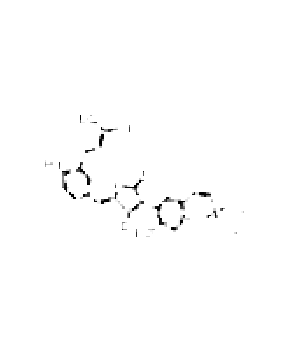 CC(C)=CCc1cc(C=C2OC(=O)C(c3cc4c(cc3O)OC(C)(C)C=C4)=C2O)ccc1O